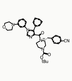 CC(C)(C)OC(=O)N1CCN(C(=O)c2ncn(-c3cccc(N4CCOCC4)c3)c2-c2ccccc2)[C@H](Cc2ccc(C#N)cc2)C1